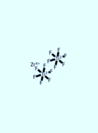 [F][Ti-2]([F])([F])([F])([F])[F].[F][Ti-2]([F])([F])([F])([F])[F].[Zr+4]